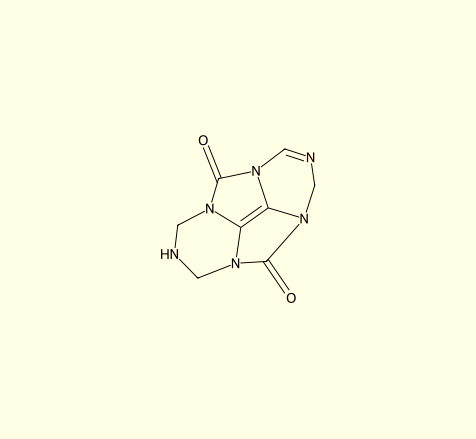 O=c1n2c3c4n1CNCn4c(=O)n3CN=C2